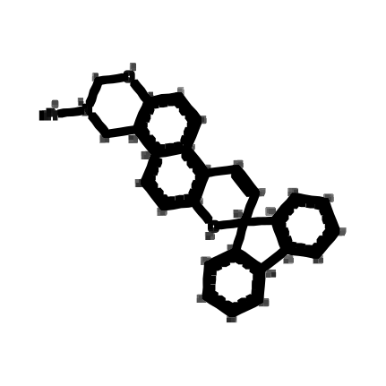 CCCN1COc2ccc3c4c(ccc3c2C1)OC1(C=C4)c2ccccc2-c2ccccc21